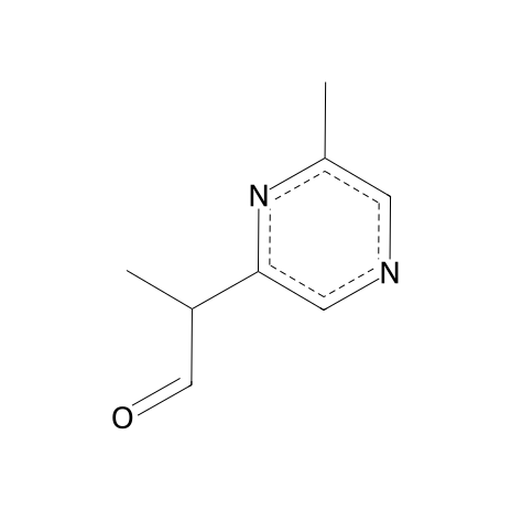 Cc1cncc(C(C)C=O)n1